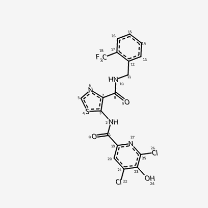 O=C(Nc1scnc1C(=O)NCc1ccccc1C(F)(F)F)c1cc(Cl)c(O)c(Cl)n1